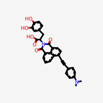 CN(C)c1ccc(C#Cc2ccc3c4c(cccc24)C(=O)N(C(Cc2ccc(O)c(O)c2)C(=O)O)C3=O)cc1